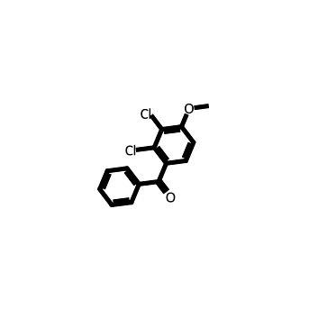 COc1ccc(C(=O)c2ccccc2)c(Cl)c1Cl